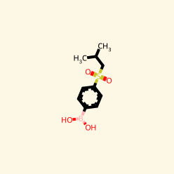 CC(C)CS(=O)(=O)c1ccc(B(O)O)cc1